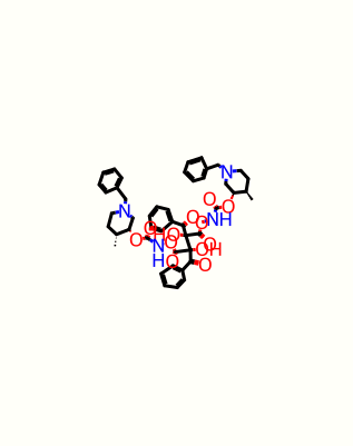 C[C@@H]1CCN(Cc2ccccc2)C[C@@H]1OC(=O)NOC(=O)C(O)(C(=O)c1ccccc1)C(O)(C(=O)ONC(=O)O[C@H]1CN(Cc2ccccc2)CC[C@H]1C)C(=O)c1ccccc1